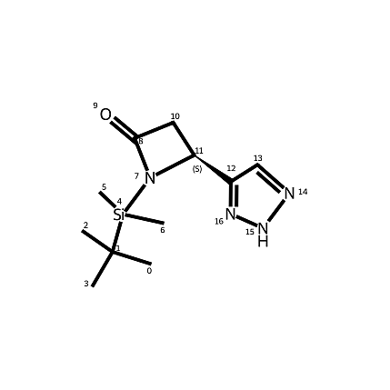 CC(C)(C)[Si](C)(C)N1C(=O)C[C@H]1c1cn[nH]n1